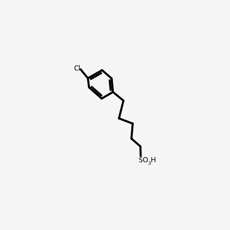 O=S(=O)(O)CCCCCc1ccc(Cl)cc1